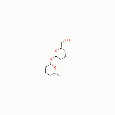 CC1CCCC(OC2CCCC(CO)O2)O1